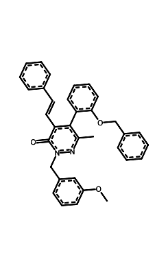 COc1cccc(Cn2nc(C)c(-c3ccccc3OCc3ccccc3)c(/C=C/c3ccccc3)c2=O)c1